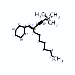 CCCCCCCC/C(C#C[Si](C)(C)C)=C\C1CCCCC1